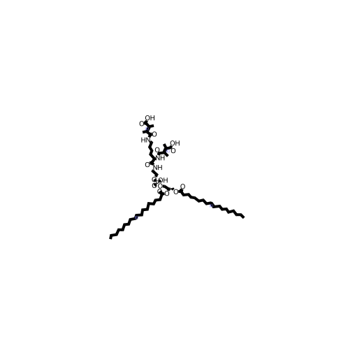 CCCCCCCC/C=C/CCCCCCCC(=O)OC[C@H](COP(=O)(O)OCCNC(=O)C(CCCCNC(=O)/C(C)=C(\C)C(=O)O)NC(=O)/C(C)=C(\C)C(=O)O)OC(=O)CCCCCCC/C=C/CCCCCCCC